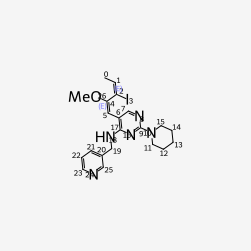 C/C=C(I)\C(=C/c1cnc(N2CCCCC2)nc1NCc1cccnc1)OC